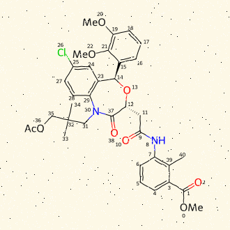 COC(=O)c1cccc(NC(=O)C[C@H]2O[C@H](c3cccc(OC)c3OC)c3cc(Cl)ccc3N(CC(C)(C)COC(C)=O)C2=O)c1C